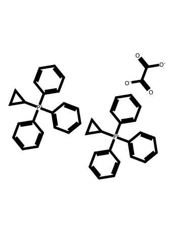 O=C([O-])C(=O)[O-].c1ccc([P+](c2ccccc2)(c2ccccc2)C2CC2)cc1.c1ccc([P+](c2ccccc2)(c2ccccc2)C2CC2)cc1